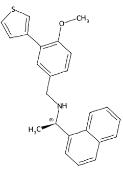 COc1ccc(CN[C@H](C)c2cccc3ccccc23)cc1-c1ccsc1